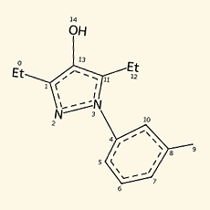 CCc1nn(-c2cccc(C)c2)c(CC)c1O